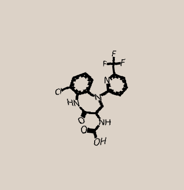 O=C(O)NC1CN(c2cccc(C(F)(F)F)n2)c2cccc(Cl)c2NC1=O